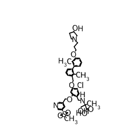 Cc1c(COc2cc(OCc3cncc(S(C)(=O)=O)c3)c(CNC(C)(CO)C(=O)O)cc2Cl)cccc1-c1cccc(OCCCN2CCC(O)C2)c1C